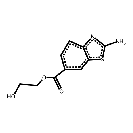 Nc1nc2ccc(C(=O)OCCO)cc2s1